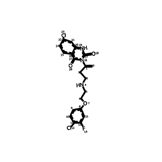 C=C(CCNCCOc1ccc(Cl)c(F)c1)n1c(=O)[nH]c2cc(Cl)ccc2c1=O